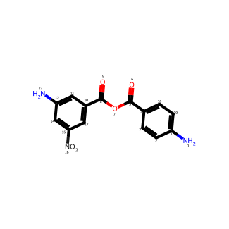 Nc1ccc(C(=O)OC(=O)c2cc(N)cc([N+](=O)[O-])c2)cc1